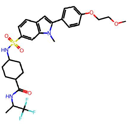 COCCOc1ccc(-c2cc3ccc(S(=O)(=O)NC4CCC(C(=O)NC(C)C(F)(F)F)CC4)cc3n2C)cc1